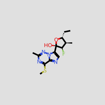 CC[C@H]1O[C@@](O)(c2cnc3c(SC)nc(C)nn23)[C@H](F)[C@@H]1C